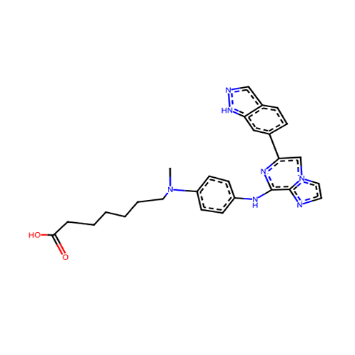 CN(CCCCCCC(=O)O)c1ccc(Nc2nc(-c3ccc4cn[nH]c4c3)cn3ccnc23)cc1